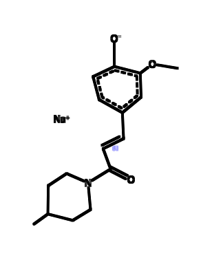 COc1cc(/C=C/C(=O)N2CCC(C)CC2)ccc1[O-].[Na+]